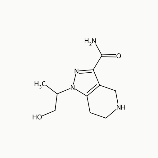 CC(CO)n1nc(C(N)=O)c2c1CCNC2